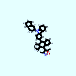 Cc1noc(C)c1-c1c2ccccc2c(-c2ccc3c(c2)c2ccccc2n3-c2ccc3ccccc3c2)c2ccccc12